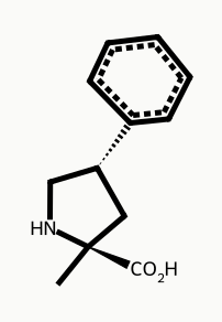 C[C@@]1(C(=O)O)C[C@@H](c2ccccc2)CN1